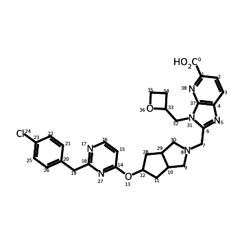 O=C(O)c1ccc2nc(CN3CC4CC(Oc5ccnc(Cc6ccc(Cl)cc6)n5)CC4C3)n(CC3CCO3)c2n1